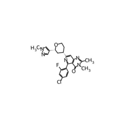 Cc1nc2cc([C@H]3CCO[C@@H](c4cnn(C)c4)C3)nc(-c3ccc(Cl)cc3F)c2c(=O)n1C